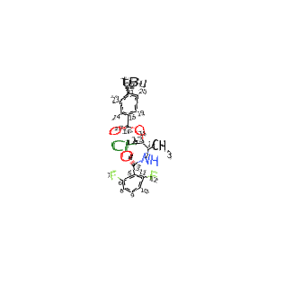 CC(NC(=O)c1c(F)cccc1F)C(Cl)OC(=O)c1ccc(C(C)(C)C)cc1